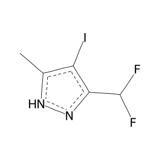 Cc1[nH]nc(C(F)F)c1I